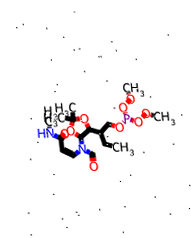 CCC(COP(OOC)OOC)C1OC(C)(C)OC1N(C=O)/C=C\C(=O)NC